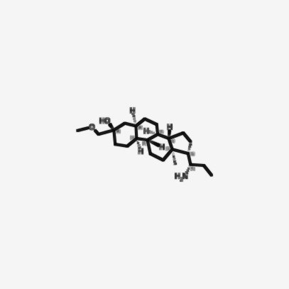 CC[C@H](N)[C@H]1CC[C@H]2[C@@H]3CC[C@@H]4C[C@@](O)(COC)CC[C@@H]4[C@H]3CC[C@]12C